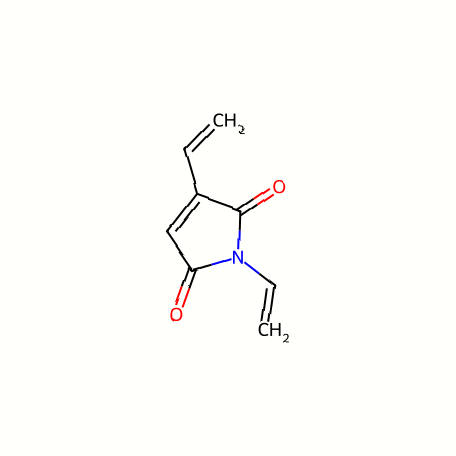 C=CC1=CC(=O)N(C=C)C1=O